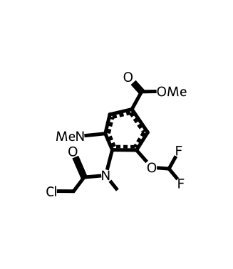 CNc1cc(C(=O)OC)cc(OC(F)F)c1N(C)C(=O)CCl